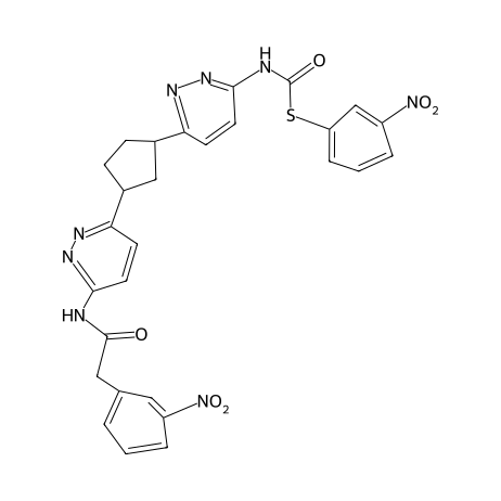 O=C(Cc1cccc([N+](=O)[O-])c1)Nc1ccc(C2CCC(c3ccc(NC(=O)Sc4cccc([N+](=O)[O-])c4)nn3)C2)nn1